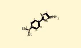 CCN(CC)c1ccc(-c2ncc(N)s2)cc1